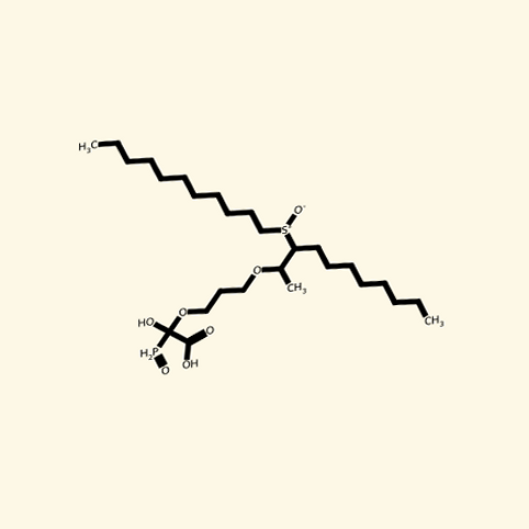 CCCCCCCCCCC[S+]([O-])C(CCCCCCCC)C(C)OCCCOC(O)([PH2]=O)C(=O)O